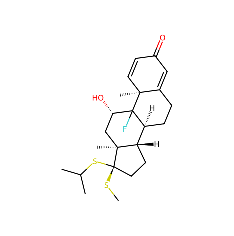 CS[C@]1(SC(C)C)CC[C@H]2[C@@H]3CCC4=CC(=O)C=C[C@]4(C)C3(F)[C@@H](O)C[C@@]21C